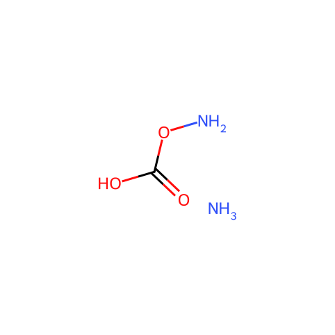 N.NOC(=O)O